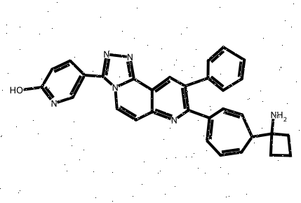 NC1(C2C=CC=C(c3nc4ccn5c(-c6ccc(O)nc6)nnc5c4cc3-c3ccccc3)C=C2)CCC1